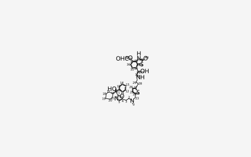 CN(CCc1cnc([C@](O)(c2ccccc2)C2CCCCC2)o1)Cc1ccc(CCNC[C@H](O)c2ccc(OC=O)c3[nH]c(=O)sc23)s1